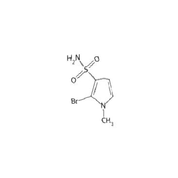 Cn1ccc(S(N)(=O)=O)c1Br